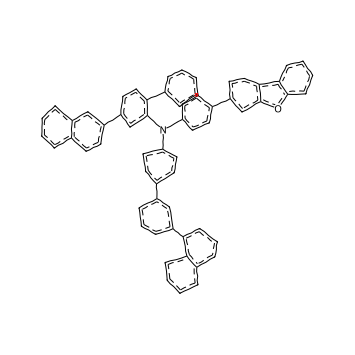 c1ccc(-c2ccc(-c3ccc4ccccc4c3)cc2N(c2ccc(-c3cccc(-c4cccc5ccccc45)c3)cc2)c2ccc(-c3ccc4c(c3)oc3ccccc34)cc2)cc1